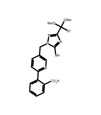 CCCc1nc(C(CC)(OC)OC)nn1Cc1ccc(-c2ccccc2C(=O)O)nc1